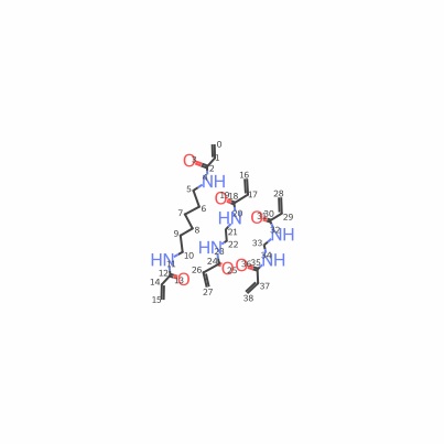 C=CC(=O)NCCCCCCNC(=O)C=C.C=CC(=O)NCCNC(=O)C=C.C=CC(=O)NCNC(=O)C=C